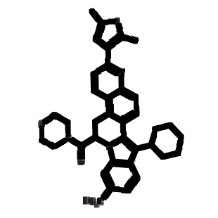 Cc1cc(-c2ccc3c4c(ccc3n2)-c2c(C3CCCCC3)c3ccc(C(=O)O)cc3n2C(C(=O)N2CCOCC2)C4)c(C)s1